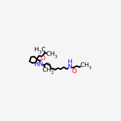 C=C(/C=C\C=C/CCCCNC(=O)CCC)NC(=O)C1(CCC(C)C)CCCCC1